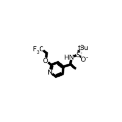 CC(N[S+]([O-])C(C)(C)C)c1ccnc(OCC(F)(F)F)c1